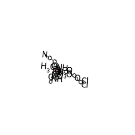 COC(=O)C(Cc1ccc(-c2ccc(C#N)cc2)cc1)NC(=O)[C@@H]1Cc2cc3c(cc2CN1S(=O)(=O)c1sc(NC(=O)C2CCCC2)nc1C)O[C@@H](c1ccc(OCc2ccc(Cl)c(Cl)c2)cc1)CO3